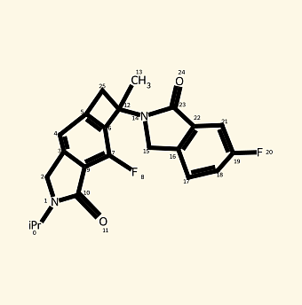 CC(C)N1Cc2cc3c(c(F)c2C1=O)C(C)(N1Cc2ccc(F)cc2C1=O)C3